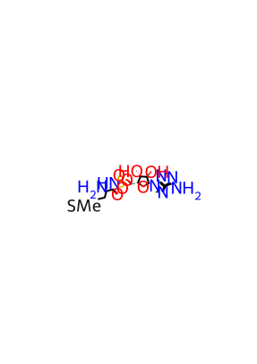 CSCC[C@H](N)C(=O)NS(=O)(=O)OC[C@H]1O[C@@H](n2cnc3c(N)ncnc32)[C@H](O)[C@H]1O